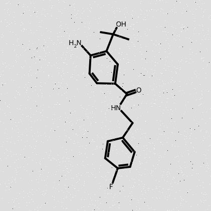 CC(C)(O)c1cc(C(=O)NCc2ccc(F)cc2)ccc1N